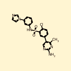 Cc1nc(N)ncc1-c1ccc(Cl)c(S(=O)(=O)Nc2cccc(-n3ccnc3)c2)c1